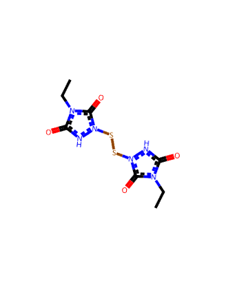 CCn1c(=O)[nH]n(SSn2[nH]c(=O)n(CC)c2=O)c1=O